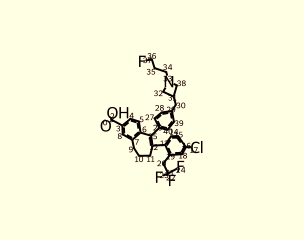 O=C(O)c1ccc2c(c1)CCCC(c1ccc(Cl)cc1CC(F)(F)F)=C2c1ccc(CC2CN(CCCF)C2)cc1